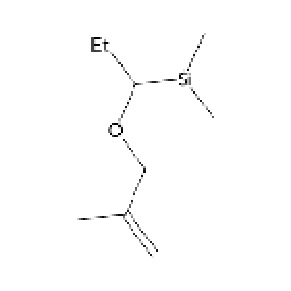 C=C(C)COC(CC)[Si](C)C